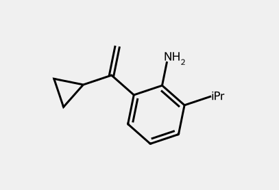 C=C(c1cccc(C(C)C)c1N)C1CC1